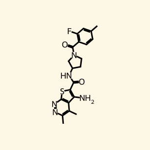 Cc1ccc(C(=O)N2CCC(NC(=O)c3sc4nnc(C)c(C)c4c3N)C2)c(F)c1